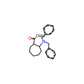 COC(=O)C1CCCCCC1N(Cc1ccccc1)Cc1ccccc1